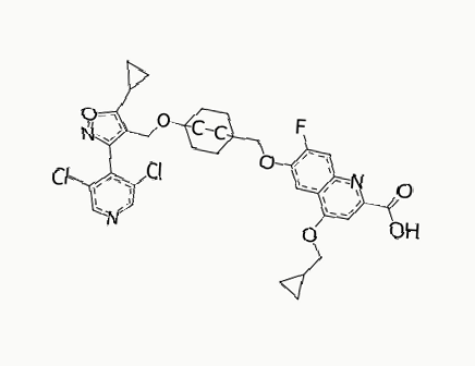 O=C(O)c1cc(OCC2CC2)c2cc(OCC34CCC(OCc5c(-c6c(Cl)cncc6Cl)noc5C5CC5)(CC3)CC4)c(F)cc2n1